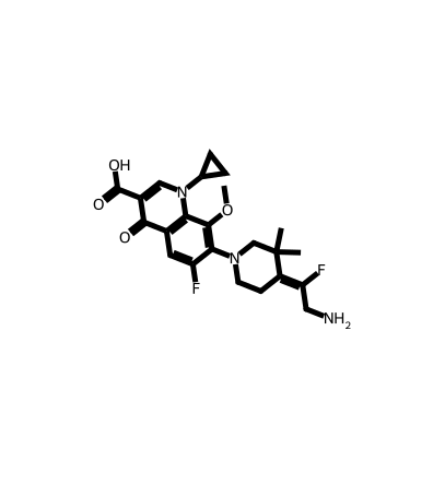 COc1c(N2CCC(=C(F)CN)C(C)(C)C2)c(F)cc2c(=O)c(C(=O)O)cn(C3CC3)c12